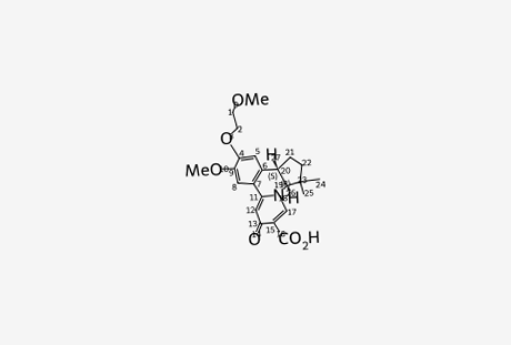 COCCOc1cc2c(cc1OC)-c1cc(=O)c(C(=O)O)cn1[C@@H]1[C@H]2CCC1(C)C